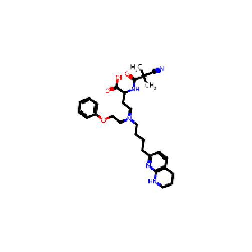 CC(C)(C#N)C(=O)NC(CCN(CCCCc1ccc2c(n1)NCCC2)CCOc1ccccc1)C(=O)O